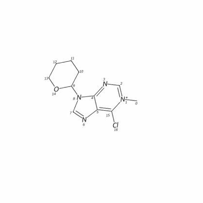 C[n+]1cnc2c(ncn2C2CCCCO2)c1Cl